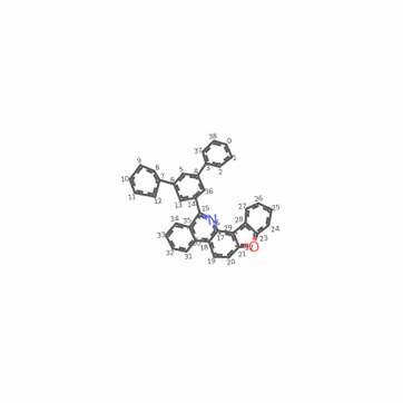 c1ccc(-c2cc(-c3ccccc3)cc(-c3nc4c(ccc5oc6ccccc6c54)c4ccccc34)c2)cc1